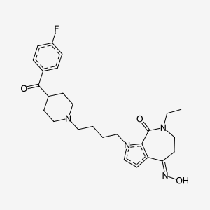 CCN1CCC(=NO)c2ccn(CCCCN3CCC(C(=O)c4ccc(F)cc4)CC3)c2C1=O